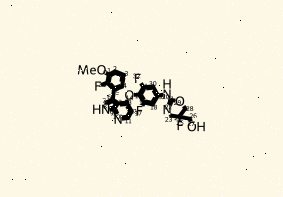 COc1cccc(-c2c[nH]c3nccc(Oc4c(F)cc(NC5=NC[C@@](F)(CO)CO5)cc4F)c23)c1F